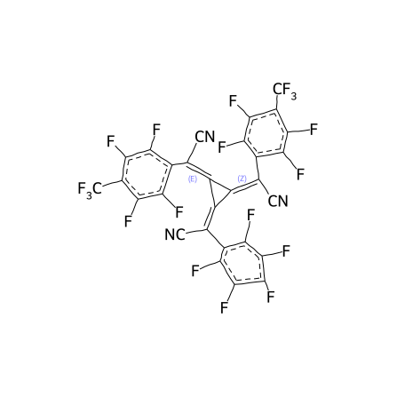 N#CC(=C1C(=C(\C#N)c2c(F)c(F)c(C(F)(F)F)c(F)c2F)/C1=C(\C#N)c1c(F)c(F)c(C(F)(F)F)c(F)c1F)c1c(F)c(F)c(F)c(F)c1F